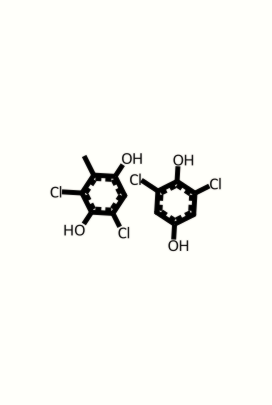 Cc1c(O)cc(Cl)c(O)c1Cl.Oc1cc(Cl)c(O)c(Cl)c1